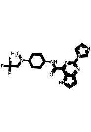 CN(CC(F)(F)F)[C@H]1CC[C@@H](NC(=O)c2nc(-n3ccnc3)nc3cc[nH]c23)CC1